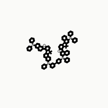 CC1(C)c2ccc3oc4c5ccc(N(c6ccccc6)c6ccccc6)cc5ccc4c3c2-c2ccc3cc(N(c4ccccc4)c4cccc(-c5ccc(N(c6ccccc6)c6cc7oc8ccc9c(c8c7c7ccccc67)C(C)(C)c6cc(N(c7ccccc7)c7ccccc7)c7ccccc7c6-9)cc5)c4)ccc3c21